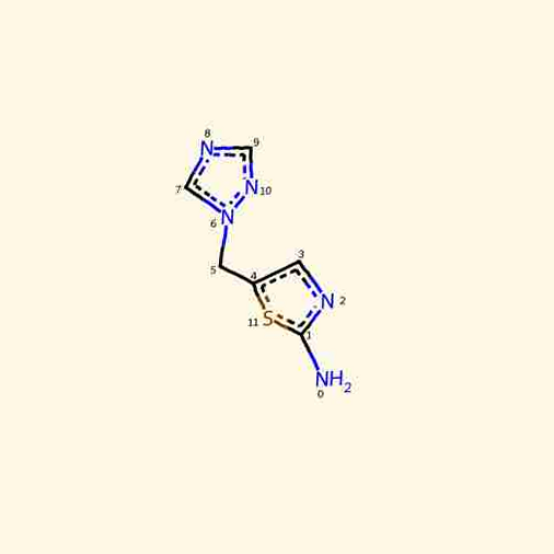 Nc1ncc(Cn2cncn2)s1